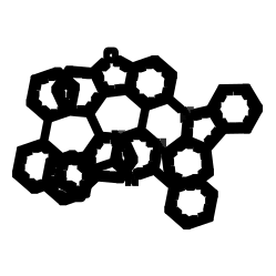 c1ccc(-c2nc(-c3ccccc3)nc(-c3c(-n4c5ccccc5c5ccccc54)ccc4oc5cccc(-c6cccc7oc8cccc(-c9ccccc9)c8c67)c5c34)n2)cc1